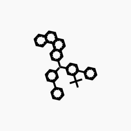 CC(C)(C)c1cc(N(c2cccc(-c3ccccc3)c2)c2ccc3c(ccc4ccc5ccccc5c43)c2)ccc1-c1ccccc1